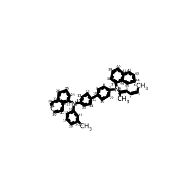 C/C=C\C=C(/C)N(c1ccc(-c2ccc(N(c3cccc(C)c3)c3cccc4ccccc34)cc2)cc1)c1cccc2ccccc12